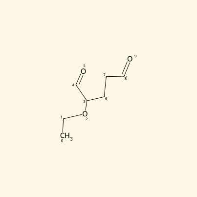 CCOC(C=O)CC[C]=O